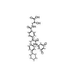 O=C(NC[C@@H](O)C(=O)O)c1ccc(N(Cc2ccc(C3CCCCC3)cc2)C(=O)Nc2cc(Cl)cc(Cl)c2)cc1